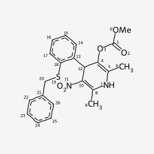 COC(=O)OC1=C(C)NC(C)=C([N+](=O)[O-])C1c1ccccc1SCc1ccccc1